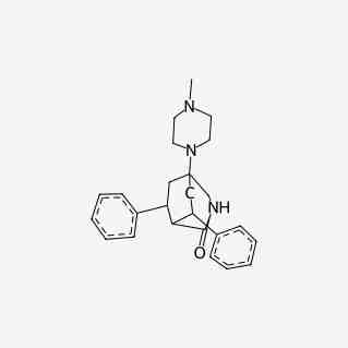 CN1CCN(C23CNC(=O)C(C(c4ccccc4)C2)C(c2ccccc2)C3)CC1